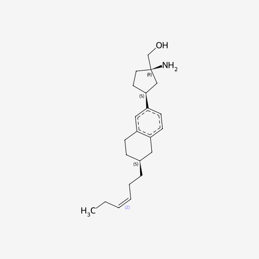 CC/C=C\CC[C@H]1CCc2cc([C@H]3CC[C@](N)(CO)C3)ccc2C1